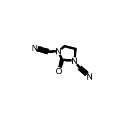 N#CN1CCN(C#N)C1=O